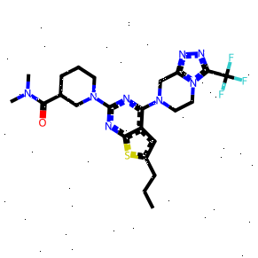 CCCc1cc2c(N3CCn4c(nnc4C(F)(F)F)C3)nc(N3CCCC(C(=O)N(C)C)C3)nc2s1